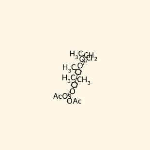 C=C(C)O[C@H](CCl)COc1ccc(C(C)(C)c2ccc(OC[C@H](COC(C)=O)OC(C)=O)cc2)cc1C